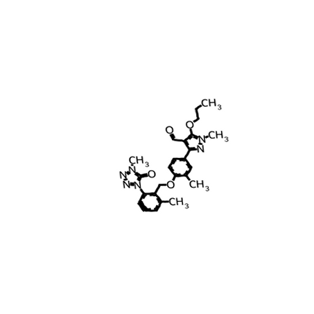 CCCOc1c(C=O)c(-c2ccc(OCc3c(-n4nnn(C)c4=O)c#ccc3C)c(C)c2)nn1C